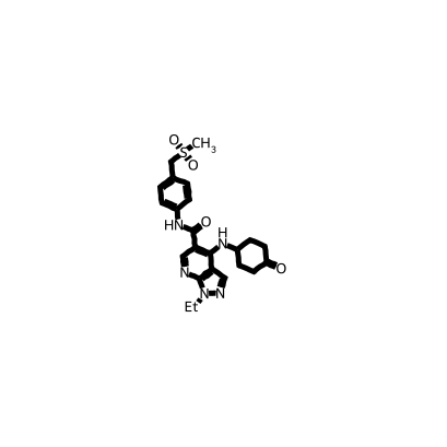 CCn1ncc2c(NC3CCC(=O)CC3)c(C(=O)Nc3ccc(CS(C)(=O)=O)cc3)cnc21